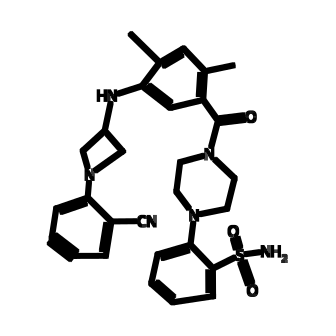 Cc1cc(C)c(C(=O)N2CCN(c3ccccc3S(N)(=O)=O)CC2)cc1NC1CN(c2cc#ccc2C#N)C1